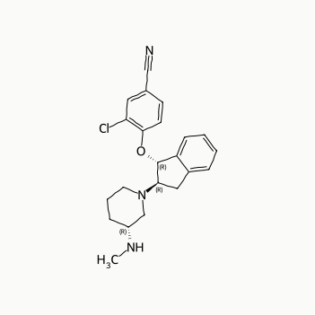 CN[C@@H]1CCCN([C@@H]2Cc3ccccc3[C@H]2Oc2ccc(C#N)cc2Cl)C1